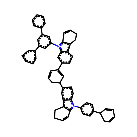 C1=CCC(c2ccc(-n3c4c(c5cc(C6C=C(c7ccc8c9c(n(-c%10cc(-c%11ccccc%11)cc(-c%11ccccc%11)c%10)c8c7)C=CCC9)C=CC6)ccc53)CCC=C4)cc2)C=C1